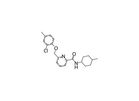 Cc1ccc(OCc2cccc(C(=O)NC3CCC(C)CC3)n2)c(Cl)c1